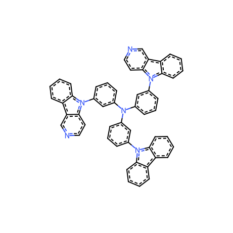 c1cc(N(c2cccc(-n3c4ccccc4c4cnccc43)c2)c2cccc(-n3c4ccccc4c4cnccc43)c2)cc(-n2c3ccccc3c3ccccc32)c1